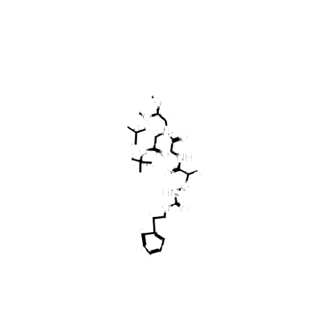 COC(CN(C(=O)CNC(=O)C(C)ONC(=O)OCCc1ccccc1)[C@@H](CC(C)C)C(=O)OC(C)(C)C)OC